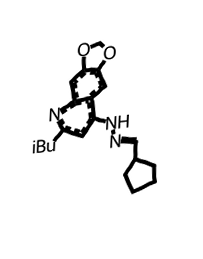 CCC(C)c1cc(N/N=C/C2CCCC2)c2cc3c(cc2n1)OCO3